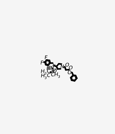 CC(C)(C)[S@+]([O-])N[C@H](Cc1cc(F)c(F)cc1F)C1CCN(C(=O)CC(=O)OCc2ccccc2)CC1